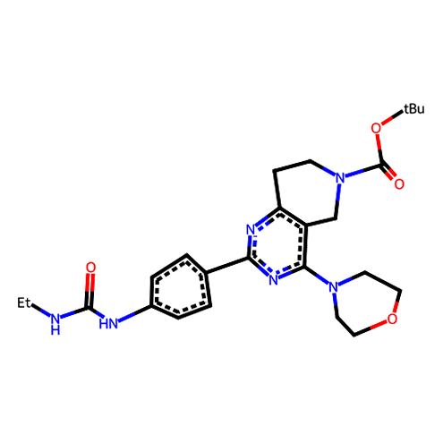 CCNC(=O)Nc1ccc(-c2nc3c(c(N4CCOCC4)n2)CN(C(=O)OC(C)(C)C)CC3)cc1